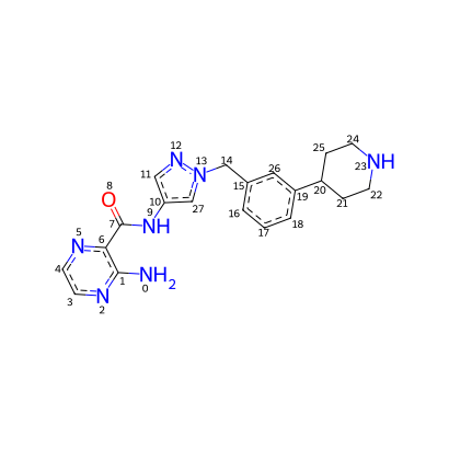 Nc1nccnc1C(=O)Nc1cnn(Cc2cccc(C3CCNCC3)c2)c1